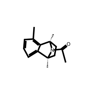 CC(=O)N1[C@@]2(C)CC[C@]1(C)c1c(C)cccc12